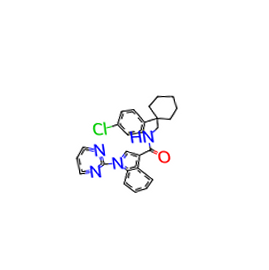 O=C(NCC1(c2ccc(Cl)cc2)CCCCC1)c1cn(-c2ncccn2)c2ccccc12